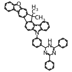 CC1(C)c2cc3oc4ccccc4c3cc2-c2ccc3c(c21)c1ccccc1n3-c1cccc(C2N=C(c3ccccc3)N=C(c3ccccc3)N2)c1